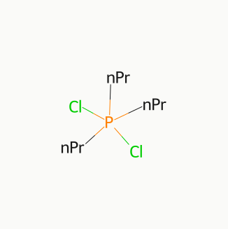 CCCP(Cl)(Cl)(CCC)CCC